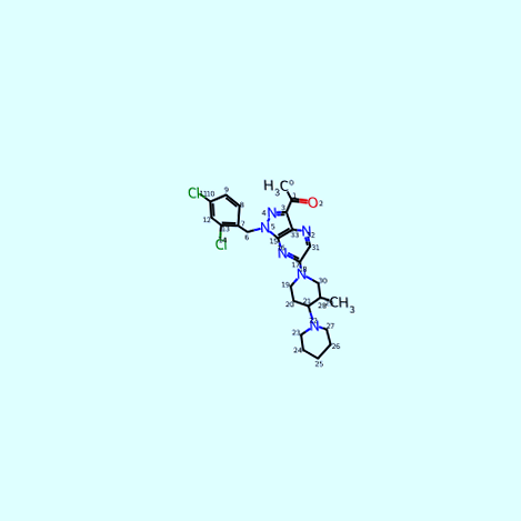 CC(=O)c1nn(Cc2ccc(Cl)cc2Cl)c2nc(N3CCC(N4CCCCC4)C(C)C3)cnc12